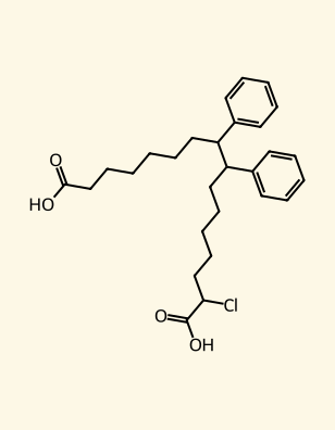 O=C(O)CCCCCCC(c1ccccc1)C(CCCCCC(Cl)C(=O)O)c1ccccc1